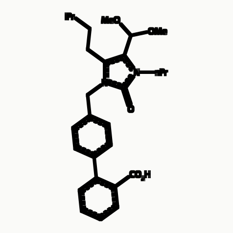 CCCn1c(C(OC)OC)c(CCC(C)C)n(Cc2ccc(-c3ccccc3C(=O)O)cc2)c1=O